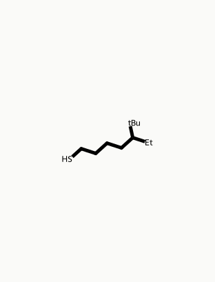 CCC(CCCCS)C(C)(C)C